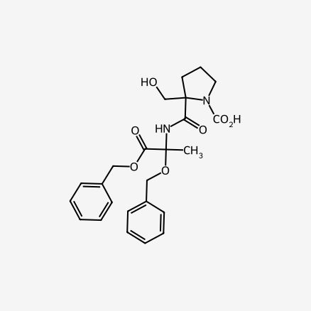 CC(NC(=O)C1(CO)CCCN1C(=O)O)(OCc1ccccc1)C(=O)OCc1ccccc1